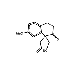 C=CCC1(CC#N)C(=O)CCc2ccc(OC)cc21